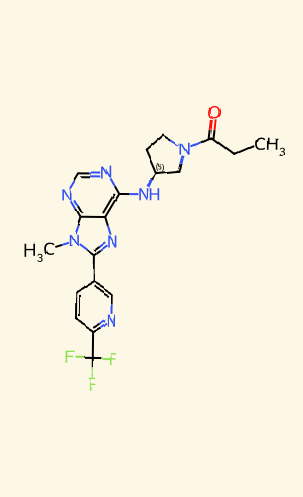 CCC(=O)N1CC[C@H](Nc2ncnc3c2nc(-c2ccc(C(F)(F)F)nc2)n3C)C1